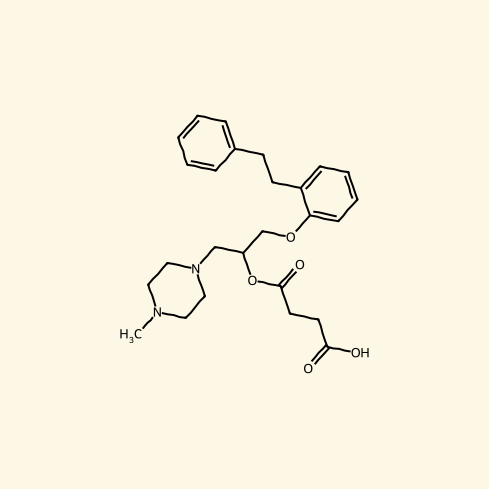 CN1CCN(CC(COc2ccccc2CCc2ccccc2)OC(=O)CCC(=O)O)CC1